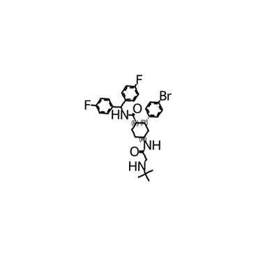 CC(C)(C)NCC(=O)N[C@@H]1CC[C@@H](C(=O)NC(c2ccc(F)cc2)c2ccc(F)cc2)[C@H](c2ccc(Br)cc2)C1